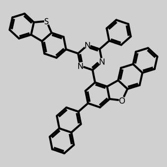 c1ccc(-c2nc(-c3ccc4c(c3)sc3ccccc34)nc(-c3cc(-c4ccc5ccccc5c4)cc4oc5cc6ccccc6cc5c34)n2)cc1